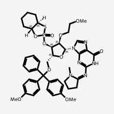 COCCO[C@@H]1[C@H](OP2(=O)O[C@@H]3CCCC[C@H]3S2)[C@@H](COC(c2ccccc2)(c2ccc(OC)cc2)c2ccc(OC)cc2)O[C@H]1n1cnc2c(=O)[nH]c(N=C3CCCN3C)nc21